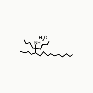 CCCCCCCCCCC(CCCC)C(N)(CCCC)CCCC.O